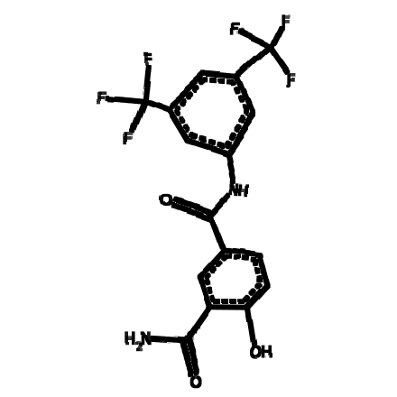 NC(=O)c1cc(C(=O)Nc2cc(C(F)(F)F)cc(C(F)(F)F)c2)ccc1O